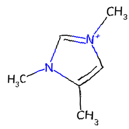 Cc1c[n+](C)cn1C